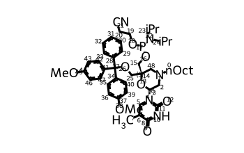 CCCCCCCCN1C[C@H](n2cc(C)c(=O)[nH]c2=O)O[C@](COP(OCCC#N)N(C(C)C)C(C)C)(COC(c2ccccc2)(c2ccc(OC)cc2)c2ccc(OC)cc2)C1